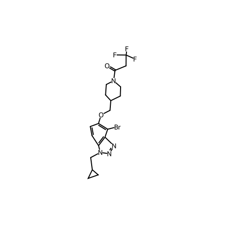 O=C(CC(F)(F)F)N1CCC(COc2ccc3c(nnn3CC3CC3)c2Br)CC1